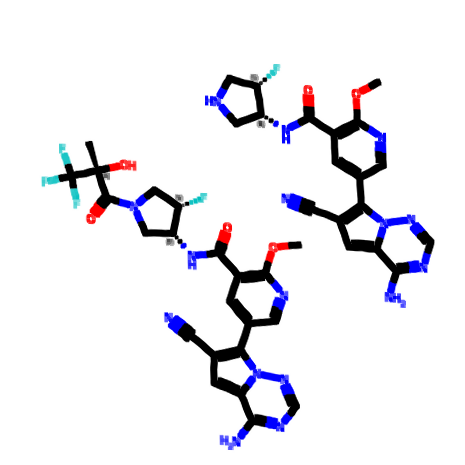 COc1ncc(-c2c(C#N)cc3c(N)ncnn23)cc1C(=O)N[C@@H]1CN(C(=O)[C@@](C)(O)C(F)(F)F)C[C@@H]1F.COc1ncc(-c2c(C#N)cc3c(N)ncnn23)cc1C(=O)N[C@@H]1CNC[C@@H]1F